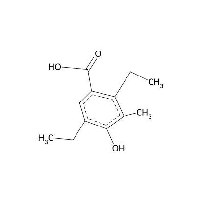 CCc1cc(C(=O)O)c(CC)c(C)c1O